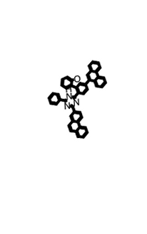 c1ccc(C2N=C(c3ccc4c(ccc5ccccc54)c3)N=C(c3ccc(-c4cc5ccccc5c5ccccc45)c4oc5ccccc5c34)N2)cc1